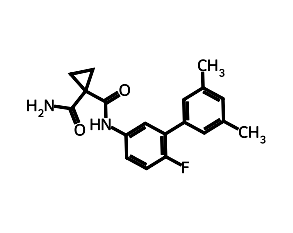 Cc1cc(C)cc(-c2cc(NC(=O)C3(C(N)=O)CC3)ccc2F)c1